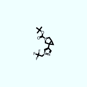 CC(C)(C)OC(=O)N1CC2CC2(c2cnn(CC(F)(F)F)c2)C1